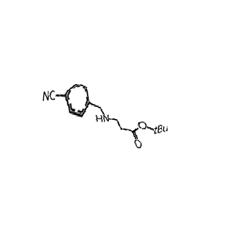 CC(C)(C)OC(=O)CCNCc1ccc(C#N)cc1